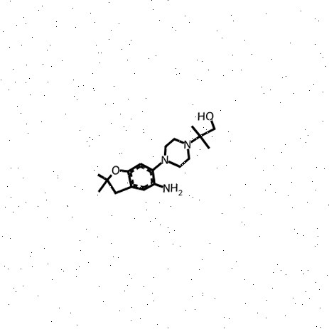 CC1(C)Cc2cc(N)c(N3CCN(C(C)(C)CO)CC3)cc2O1